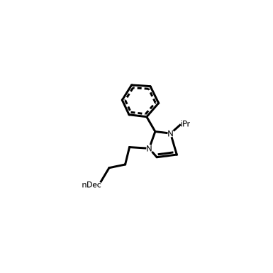 CCCCCCCCCCCCCN1C=CN(C(C)C)C1c1ccccc1